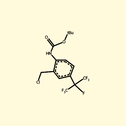 CC(C)(C)OC(=O)Nc1ccc(C(F)(C(F)(F)F)C(F)(F)F)cc1CCl